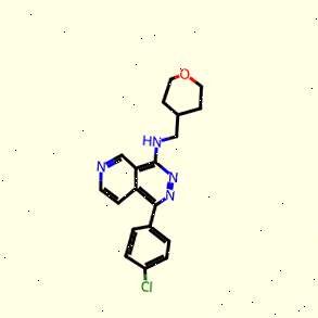 Clc1ccc(-c2nnc(NCC3CCOCC3)c3cnccc23)cc1